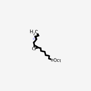 C=C/C=C/CC1OC1CCCCCCCCCCCCCC